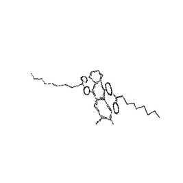 CCCCCCCCC(=O)Oc1c2ccccc2c(OC(=O)CCCCCCCC)c2cc(C)c(C)cc12